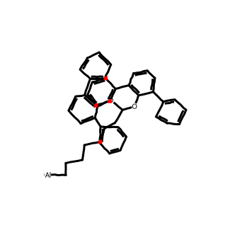 [Al][CH2]CCCCCCC(Oc1c(-c2ccccc2)cccc1-c1ccccc1)Oc1c(-c2ccccc2)cccc1-c1ccccc1